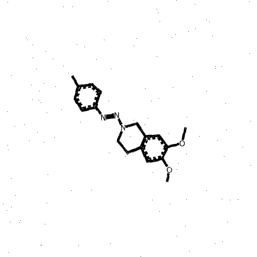 COc1cc2c(cc1OC)CN(/N=N/c1ccc(C)cc1)CC2